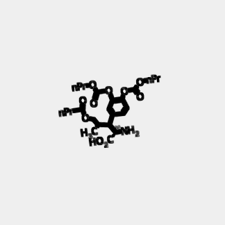 CCCOC(=O)Oc1ccc(C(C(C)COC(=O)CCC)[C@H](N)C(=O)O)cc1OC(=O)OCCC